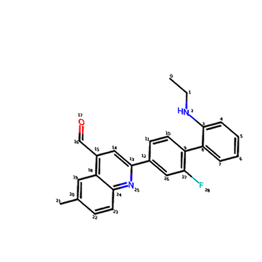 CCNc1ccccc1-c1ccc(-c2cc(C=O)c3cc(C)ccc3n2)cc1F